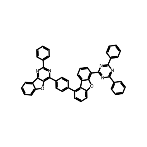 c1ccc(-c2nc(-c3ccccc3)nc(-c3cccc4c3oc3cccc(-c5ccc(-c6nc(-c7ccccc7)nc7c6oc6ccccc67)cc5)c34)n2)cc1